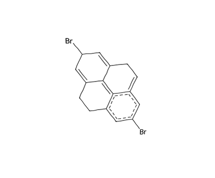 Brc1cc2c3c(c1)=CCC1=CC(Br)C=C(CC2)C=31